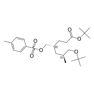 Cc1ccc(S(=O)(=O)OC[C@H](CCC(=O)OC(C)(C)C)C[C@H](C)COC(C)(C)C)cc1